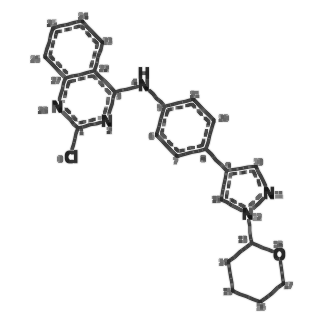 Clc1nc(Nc2ccc(-c3cnn(C4CCCCO4)c3)cc2)c2ccccc2n1